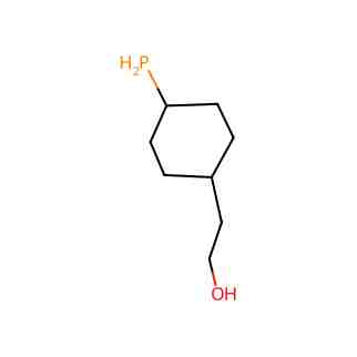 OCCC1CCC(P)CC1